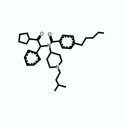 CCCCCc1ccc(C(=O)N(C2CCN(CCC(C)C)CC2)C(C(=O)C2CCCC2)c2ccccc2)cc1